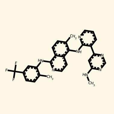 CNc1cc(-c2cccnc2Nc2c(C)ccc3c(Nc4cc(C(F)(F)F)ccc4C)nccc23)ncn1